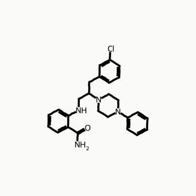 NC(=O)c1ccccc1NCC(Cc1cccc(Cl)c1)N1CCN(c2ccccc2)CC1